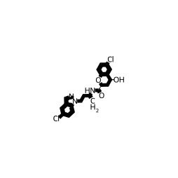 C=C(CCn1ncc2cc(Cl)ccc21)NC(=O)[C@H]1C[C@@H](O)c2cc(Cl)ccc2O1